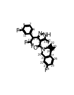 O=C(c1c(C(c2cccc(F)c2)C(F)F)n[nH]c1F)N(Cc1cc(F)ccc1C1CC1)C1CC1